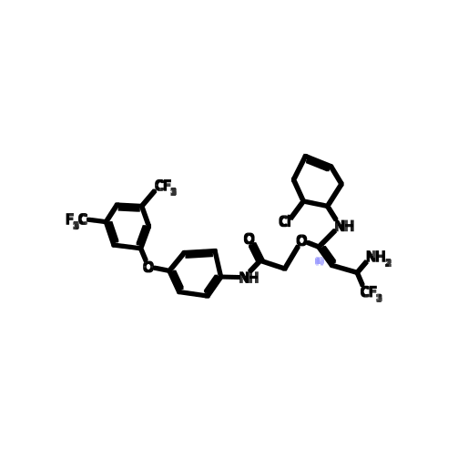 NC(/C=C(\NC1CC=CCC1Cl)OCC(=O)Nc1ccc(Oc2cc(C(F)(F)F)cc(C(F)(F)F)c2)cc1)C(F)(F)F